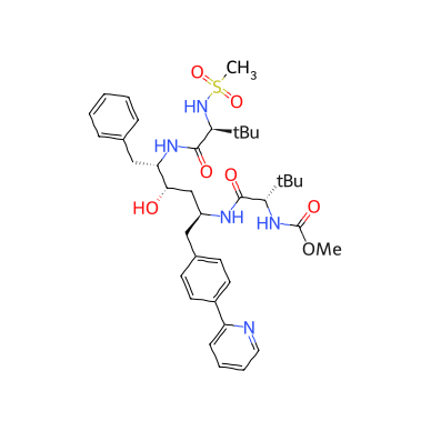 COC(=O)N[C@H](C(=O)N[C@@H](Cc1ccc(-c2ccccn2)cc1)C[C@H](O)[C@H](Cc1ccccc1)NC(=O)[C@@H](NS(C)(=O)=O)C(C)(C)C)C(C)(C)C